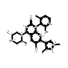 Cc1ccnc(C(C)C)c1-n1c(=O)nc(N2C[C@@H](C)NC[C@@H]2C)c2cc(Cl)c(-c3cn(C)nc3C)nc21